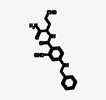 NC(=O)C(CCC=O)NC(=O)c1ccc(NCc2ccccc2)cc1C=O